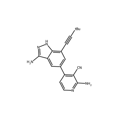 CC(C)(C)C#Cc1cc(-c2ccnc(N)c2C#N)cc2c(N)n[nH]c12